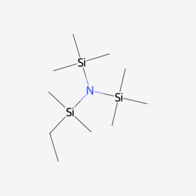 CC[Si](C)(C)N([Si](C)(C)C)[Si](C)(C)C